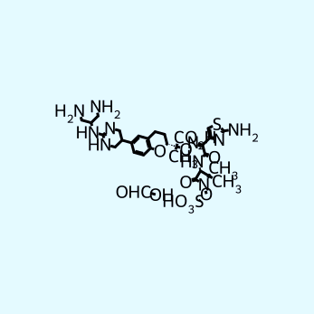 CC(O/N=C(\C(=O)N[C@@H]1C(=O)N(OS(=O)(=O)O)C1(C)C)c1csc(N)n1)(C(=O)O)[C@H]1CCc2cc(C3CN=C(NC(CN)CN)NC3)ccc2O1.O=CO